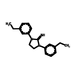 CCc1cccc(N2CCN(c3cccc(CC)c3)C2=N)c1